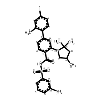 Cc1cc(F)ccc1-c1ccc(C(=O)NS(=O)(=O)c2cccc(N)n2)c(N2CC(C)CC2(C)C)n1